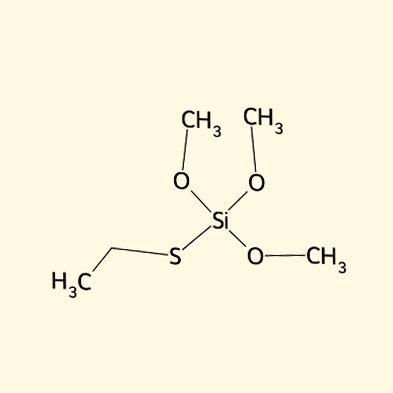 CCS[Si](OC)(OC)OC